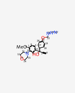 C#CC(O)(c1ccc(OC)c(N2CCOCC2)c1)C1C=CC(OCN=[N+]=[N-])=CC1